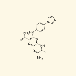 CC[C@@H](Nc1cnc(C(N)=O)c(Nc2ccc(-n3ccnc3)cc2)n1)C(N)=O